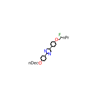 CCCCCCCCCCOc1ccc(-c2ncc(-c3ccc(OCC(F)CCC)cc3)cn2)cc1